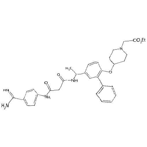 CCOC(=O)CN1CCC(Oc2ccc(C(C)NC(=O)CC(=O)Nc3ccc(C(=N)N)cc3)cc2-c2ccccc2)CC1